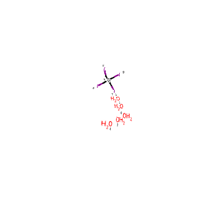 O.O.O.O.O.[I][Ti]([I])([I])[I]